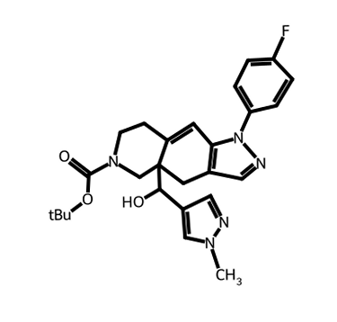 Cn1cc(C(O)C23Cc4cnn(-c5ccc(F)cc5)c4C=C2CCN(C(=O)OC(C)(C)C)C3)cn1